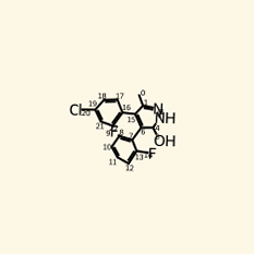 CC1=NNC(O)C(c2c(F)cccc2F)=C1c1ccc(Cl)cc1